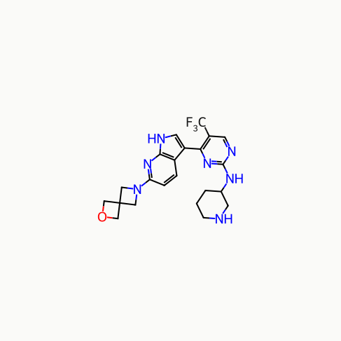 FC(F)(F)c1cnc(NC2CCCNC2)nc1-c1c[nH]c2nc(N3CC4(COC4)C3)ccc12